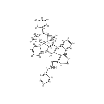 c1ccc(CNCc2cccc(-c3ccccc3-c3ccc4c(c3)C3(c5ccccc5-4)c4ccccc4N(c4ccccc4)c4ccccc43)c2)cc1